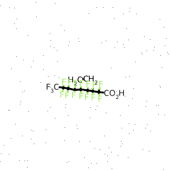 C=C.O=C(O)C(F)(F)C(F)(F)C(F)(F)C(F)(F)C(F)(F)C(F)(F)C(F)(F)C(F)(F)F